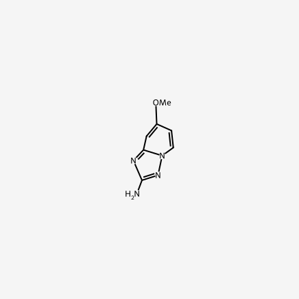 COc1ccn2nc(N)nc2c1